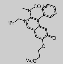 COCCOc1cc2cn(CC(C)C)c(N(C)C(=O)O)c(-c3ccccc3)c-2cc1=O